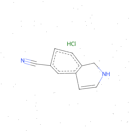 Cl.N#Cc1ccc2c(c1)C=CNC2